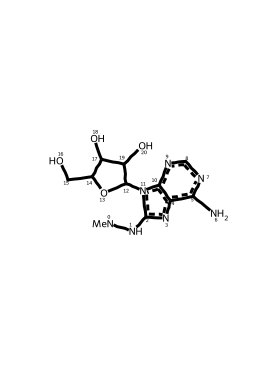 CNNc1nc2c(N)ncnc2n1C1OC(CO)C(O)C1O